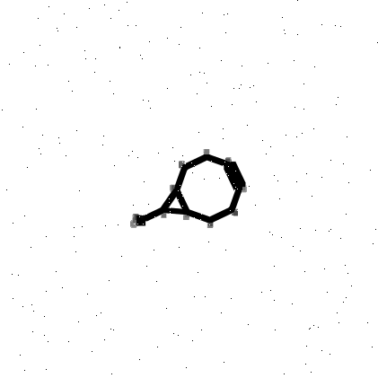 [2H]C1C2CCC#CCCC12